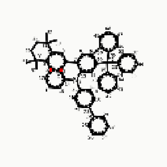 Cc1cc2c(cc1-c1cc3c(cc1N(c1ccccc1)c1ccc(-c4ccccc4)cc1)C(c1ccccc1)(c1ccccc1)c1ccccc1-3)C(C)(C)CCC2(C)C